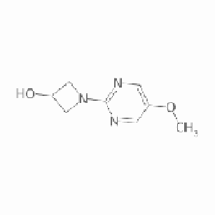 COc1cnc(N2CC(O)C2)nc1